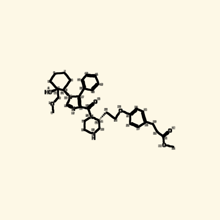 COC[C@]1(O)CCCC[C@H]1n1cnc(C(=O)N2CCNC[C@H]2CCOc2ccc(CCC(=O)OC)cc2)c1-c1ccccc1